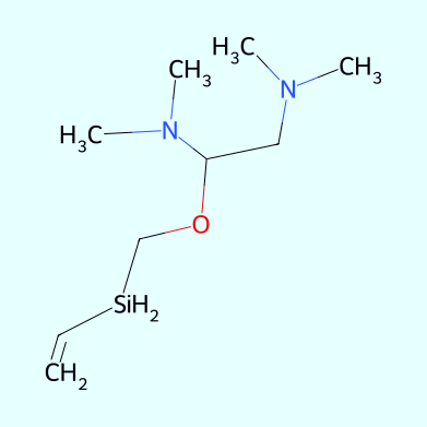 C=C[SiH2]COC(CN(C)C)N(C)C